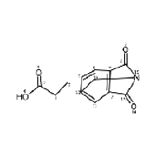 CCC(=O)O.O=C1c2ccc3cc2C(=O)N1C3